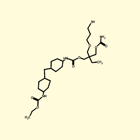 CCOC(=O)NC1CCC(CC2CCC(NC(=O)OCC(CC)(COCCCS)COC(N)=O)CC2)CC1